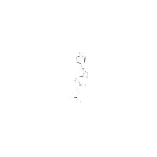 COC(=O)CCC(=O)N(C)c1nnc(-c2ccncc2)s1